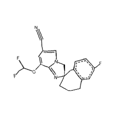 N#CC1=CN2C[C@@]3(CCCc4cc(F)ccc43)N=C2C(OC(F)F)=C1